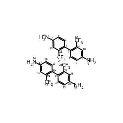 Nc1ccc(-c2ccc(N)cc2C(F)(F)F)c(C(F)(F)F)c1.Nc1ccc(-c2ccc(N)cc2C(F)(F)F)c(C(F)(F)F)c1